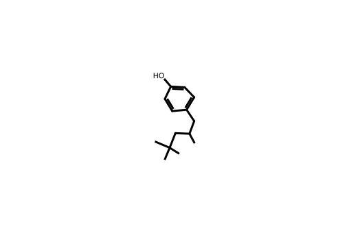 CC(Cc1ccc(O)cc1)CC(C)(C)C